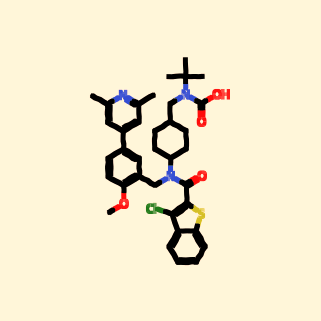 COc1ccc(-c2cc(C)nc(C)c2)cc1CN(C(=O)c1sc2ccccc2c1Cl)C1CCC(CN(C(=O)O)C(C)(C)C)CC1